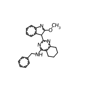 COC1=Nc2ccccc2C1c1nc2c(c(NCc3ccccc3)n1)CCCC2